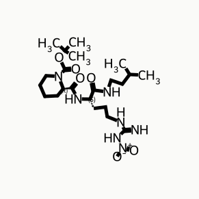 CC(C)CCNC(=O)[C@H](CCCNC(=N)N[N+](=O)[O-])NC(=O)[C@H]1CCCCN1C(=O)OC(C)(C)C